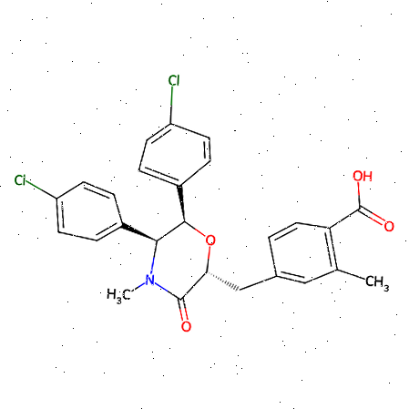 Cc1cc(C[C@H]2O[C@H](c3ccc(Cl)cc3)[C@H](c3ccc(Cl)cc3)N(C)C2=O)ccc1C(=O)O